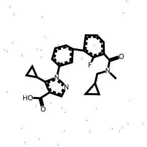 CN(CC1CC1)C(=O)c1cccc(-c2cccc(-n3ncc(C(=O)O)c3C3CC3)c2)c1F